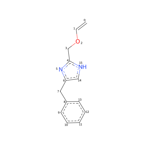 C=COCc1nc(Cc2ccccc2)c[nH]1